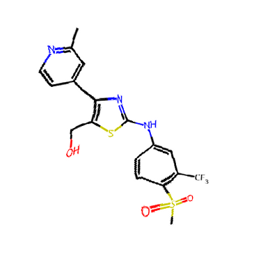 Cc1cc(-c2nc(Nc3ccc(S(C)(=O)=O)c(C(F)(F)F)c3)sc2CO)ccn1